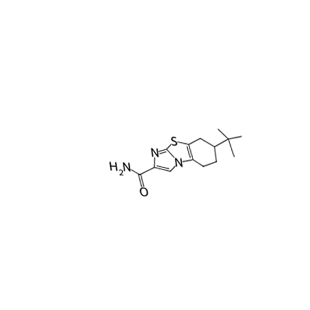 CC(C)(C)C1CCc2c(sc3nc(C(N)=O)cn23)C1